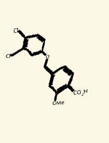 COc1cc(COc2ccc(Cl)c(Cl)c2)ccc1C(=O)O